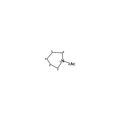 CC(=O)N1[CH]CCCC1